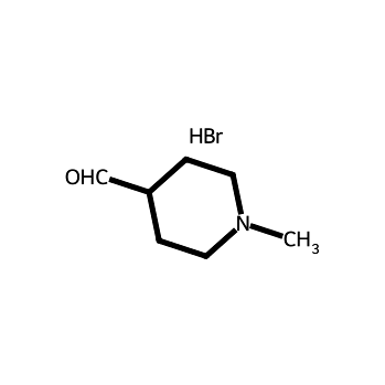 Br.CN1CCC(C=O)CC1